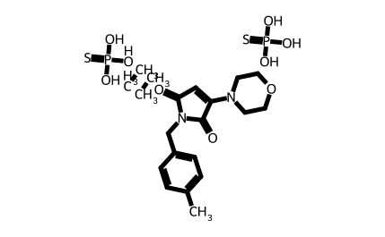 CC.CC.Cc1ccc(CN2C(=O)C=C(N3CCOCC3)C2=O)cc1.OP(O)(O)=S.OP(O)(O)=S